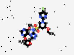 CCO[C@@H]1C[C@@H](S(=O)(=O)Nc2nnc([C@@H]3CCCO3)n2-c2c(OC)ncnc2OC)CN(c2ncc(F)cn2)C1